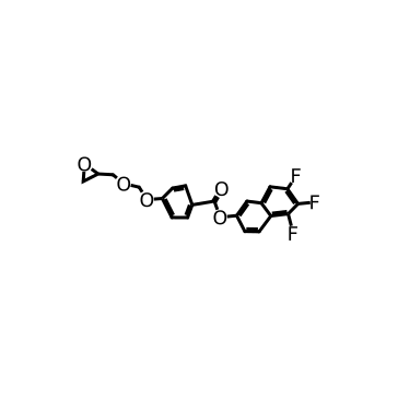 O=C(Oc1ccc2c(F)c(F)c(F)cc2c1)c1ccc(OCOCC2CO2)cc1